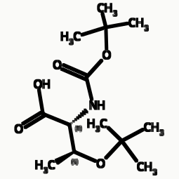 C[C@H](OC(C)(C)C)[C@@H](NC(=O)OC(C)(C)C)C(=O)O